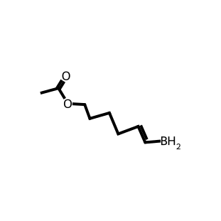 BC=CCCCCOC(C)=O